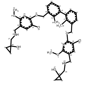 COc1nc(OCc2cccc(-c3cccc(COc4nc(OC)c(CNCC5(O)CC5)cc4Cl)c3C)c2C)c(Cl)cc1CNCC1(O)CC1